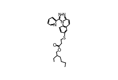 CCCCC(CC)COC(=O)CCSc1ccc2c(ccc3nnc(-c4ccccn4)n32)c1